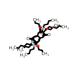 CCCCCCn1c(=O)c2c[c]([Sn]([CH2]CCC)([CH2]CCC)[CH2]CCC)c(c1=O)c1c3c[c]([Sn]([CH2]CCC)([CH2]CCC)[CH2]CCC)c(c(=O)n(CCCCCC)c3=O)c21